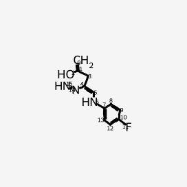 C=C(O)C/C(=C/Nc1ccc(F)cc1)N=N